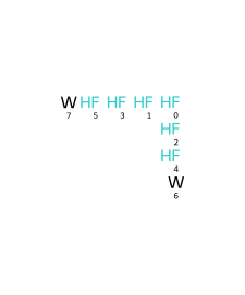 F.F.F.F.F.F.[W].[W]